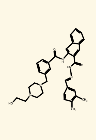 Cc1ccc(C=NNC(=O)c2cc3ccccc3cc2NC(=O)c2cccc(CN3CCN(CCO)CC3)c2)cc1C